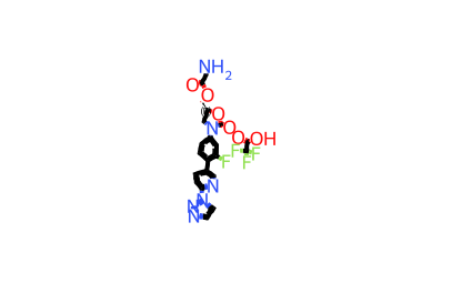 NCC(=O)OC[C@H]1CN(c2ccc(-c3ccc(-n4ccnn4)nc3)c(F)c2)C(=O)O1.O=C(O)C(F)(F)F